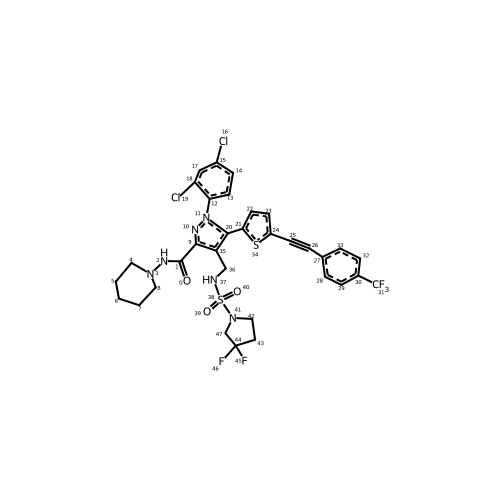 O=C(NN1CCCCC1)c1nn(-c2ccc(Cl)cc2Cl)c(-c2ccc(C#Cc3ccc(C(F)(F)F)cc3)s2)c1CNS(=O)(=O)N1CCC(F)(F)C1